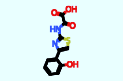 O=C(O)C(=O)Nc1nc(-c2ccccc2O)cs1